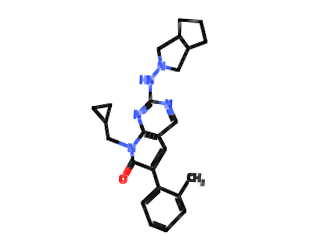 Cc1ccccc1-c1cc2cnc(NN3CC4CCCC4C3)nc2n(CC2CC2)c1=O